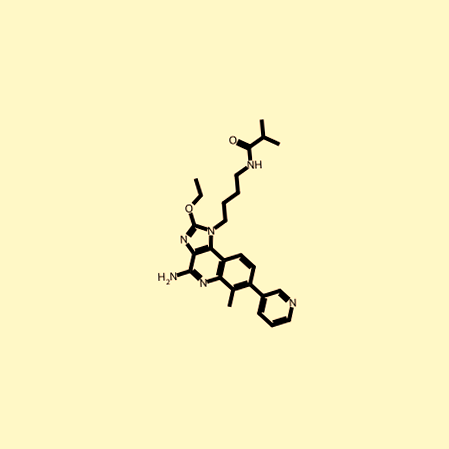 CCOc1nc2c(N)nc3c(C)c(-c4cccnc4)ccc3c2n1CCCCNC(=O)C(C)C